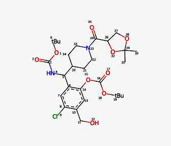 CC(C)(C)OC(=O)NC(c1cc(Cl)c(CO)cc1OC(=O)OC(C)(C)C)C1CCN(C(=O)C2COC(C)(C)O2)CC1